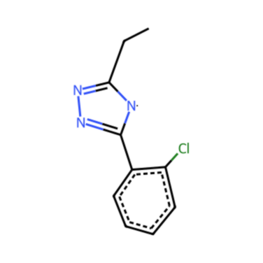 CCC1=NN=C(c2ccccc2Cl)[N]1